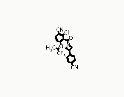 CC(Oc1ccc(C#N)c(Cl)c1C(=O)N1CC(c2ccc(C#N)cc2)C1)C(F)(F)F